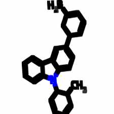 BC1=CC=CC(c2ccc3c(c2)c2ccccc2n3C2C=CC=CC2C)C1